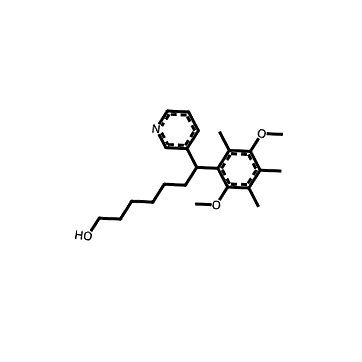 COc1c(C)c(C)c(OC)c(C(CCCCCCO)c2cccnc2)c1C